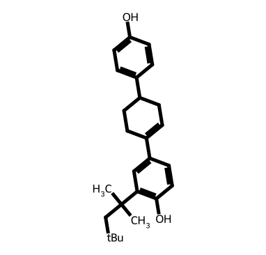 CC(C)(C)CC(C)(C)c1cc(C2=CCC(c3ccc(O)cc3)CC2)ccc1O